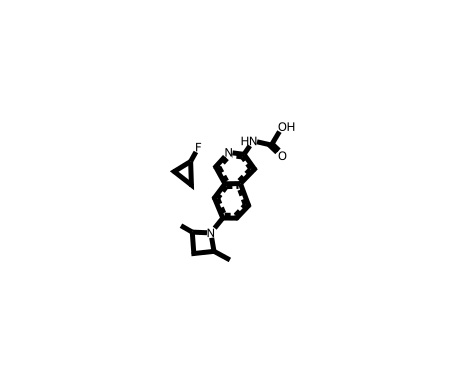 CC1CC(C)N1c1ccc2cc(NC(=O)O)ncc2c1.FC1CC1